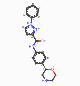 O=C(Nc1ccc([C@@H]2CNCCO2)cc1)c1ccn(-c2ccccc2)n1